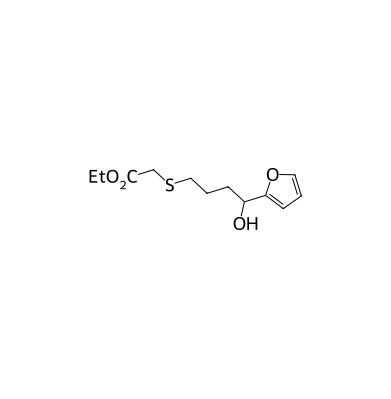 CCOC(=O)CSCCCC(O)c1ccco1